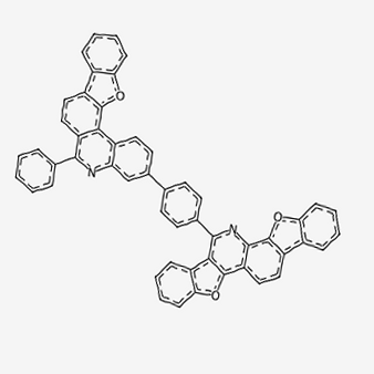 c1ccc(-c2nc3cc(-c4ccc(-c5nc6c(ccc7c8ccccc8oc76)c6oc7ccccc7c56)cc4)ccc3c3c2ccc2c4ccccc4oc23)cc1